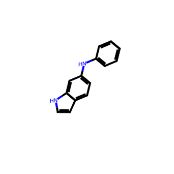 c1ccc(Nc2ccc3cc[nH]c3c2)cc1